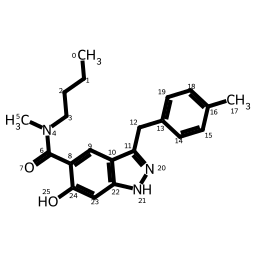 CCCCN(C)C(=O)c1cc2c(Cc3ccc(C)cc3)n[nH]c2cc1O